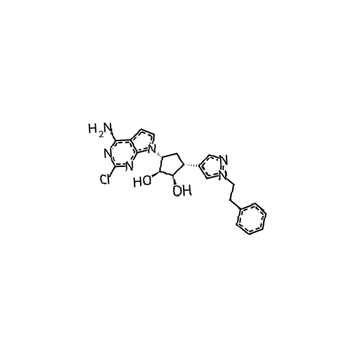 Nc1nc(Cl)nc2c1ccn2[C@@H]1C[C@H](c2cnn(CCc3ccccc3)c2)[C@@H](O)[C@H]1O